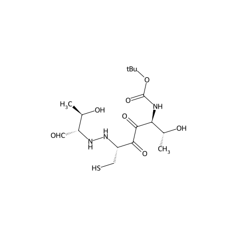 C[C@@H](O)[C@H](NC(=O)OC(C)(C)C)C(=O)C(=O)[C@H](CS)NN[C@H](C=O)[C@@H](C)O